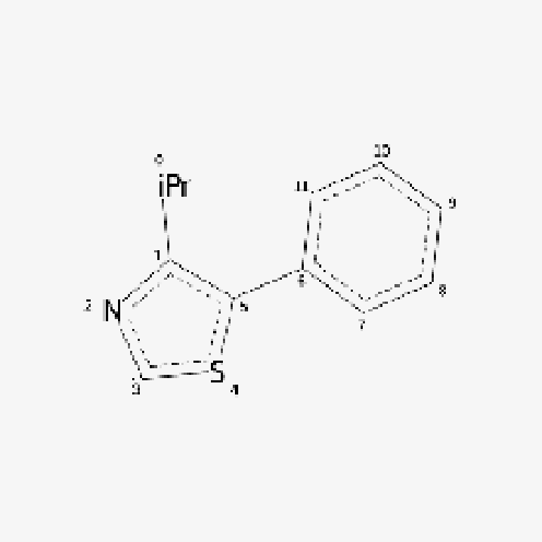 CC(C)c1n[c]sc1-c1ccccc1